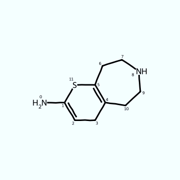 NC1=CCC2=C(CCNCC2)S1